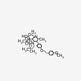 COc1ccc(CCOc2ccc(-c3c(C)nc(C)c([C@H](OC(C)(C)C)C(=O)O)c3N3CCC(C)(C)CC3)cc2)cc1